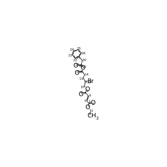 CCOC(=O)C=CC(=O)OCC(Br)CCC(=O)OC(=O)Cc1ccccc1